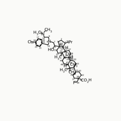 CC(C)C1CCC2(C(O)CN(CCN(C)C)Cc3ccc(Cl)cc3)CC[C@]3(C)[C@H](CC[C@@H]4[C@@]5(C)CC=C(C6=CC[C@](CF)(C(=O)O)CC6)C(C)(C)[C@@H]5CC[C@]43C)[C@@H]12